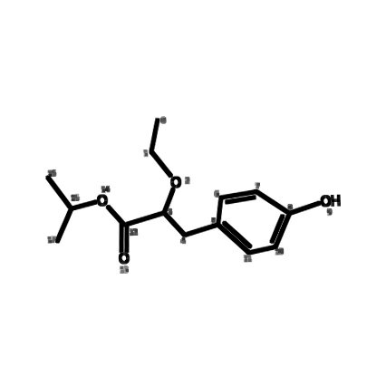 CCOC(Cc1ccc(O)cc1)C(=O)OC(C)C